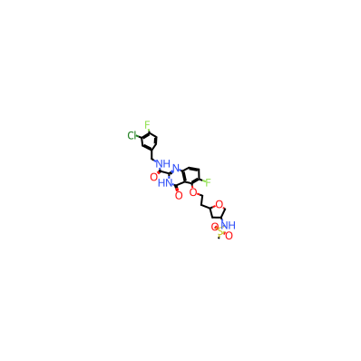 CS(=O)(=O)NC1COC(CCOc2c(F)ccc3nc(C(=O)NCc4ccc(F)c(Cl)c4)[nH]c(=O)c23)C1